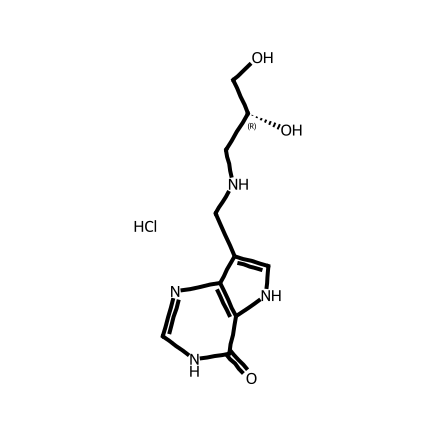 Cl.O=c1[nH]cnc2c(CNC[C@@H](O)CO)c[nH]c12